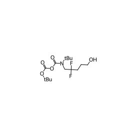 CC(C)(C)OC(=O)OC(=O)N(CC(F)(F)CCCO)C(C)(C)C